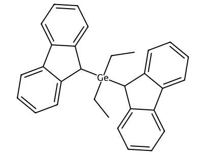 C[CH2][Ge]([CH2]C)([CH]1c2ccccc2-c2ccccc21)[CH]1c2ccccc2-c2ccccc21